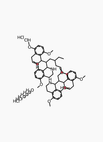 CCC(CCC(CC)CC(C1NCCc2c(OC)ccc(OC)c21)C1NCCc2c(OC)ccc(OC)c21)CC(C1NCCc2c(OC)ccc(OC)c21)C1NCCc2c(OC)ccc(OC)c21.Cl.Cl.Cl.Cl.O.O.O.O